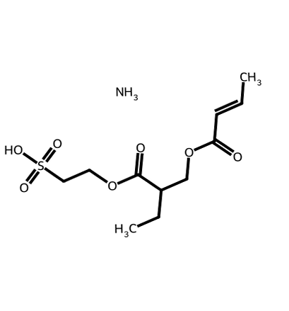 CC=CC(=O)OCC(CC)C(=O)OCCS(=O)(=O)O.N